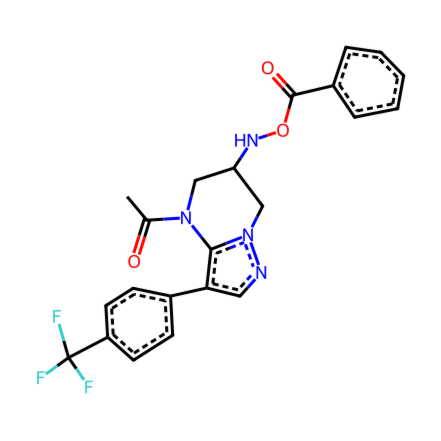 CC(=O)N1CC(NOC(=O)c2ccccc2)Cn2ncc(-c3ccc(C(F)(F)F)cc3)c21